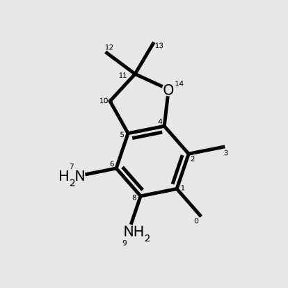 Cc1c(C)c2c(c(N)c1N)CC(C)(C)O2